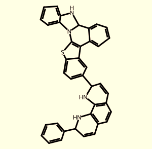 C1=CC(c2ccccc2)Nc2c1ccc1c2NC(c2ccc3sc4c(c3c2)-c2ccccc2C2Nc3ccccc3N42)C=C1